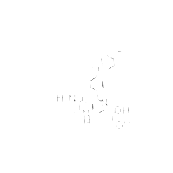 C[C@H](Nc1cc(-c2ccc(Oc3ccc(F)cc3)cc2)nc([C@H](O)CO)c1)C(N)=O